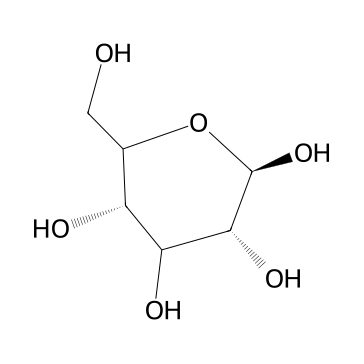 OCC1O[C@@H](O)[C@H](O)C(O)[C@@H]1O